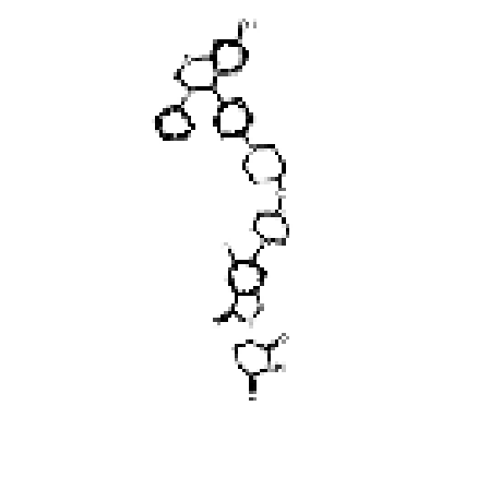 O=C1CC[C@H](N2Cc3cc(N4CCN(CC5CCN(c6ccc(C7c8ccc(O)cc8OC[C@@H]7c7ccccc7)cc6)CC5)CC4)c(F)cc3C2=O)C(=O)N1